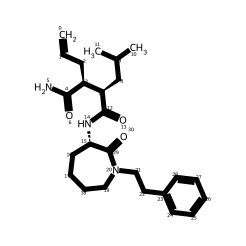 C=CC[C@H](C(N)=O)[C@@H](CC(C)C)C(=O)N[C@H]1CCCCN(CCc2ccccc2)C1=O